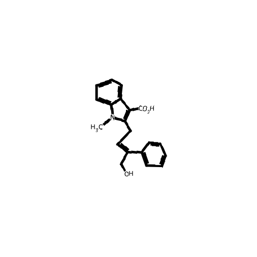 Cn1c(CC=C(CO)c2ccccc2)c(C(=O)O)c2ccccc21